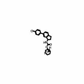 O=C(NC1CCc2ccc(-c3ccc(Cl)cc3)cc21)O[C@H]1CN2CCC1CC2